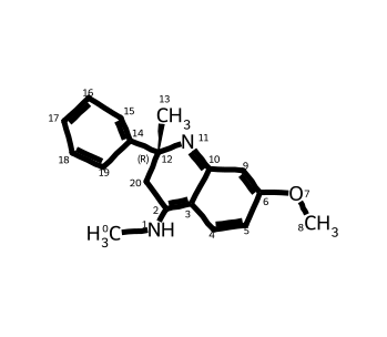 CNC1=c2ccc(OC)cc2=N[C@@](C)(c2ccccc2)C1